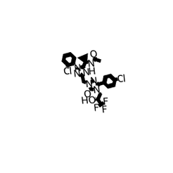 CC(=O)NC1(c2nc(Cn3nc(-c4ccc(Cl)cc4)n(C[C@H](O)C(F)(F)F)c3=O)nn2-c2ccccc2Cl)CC1